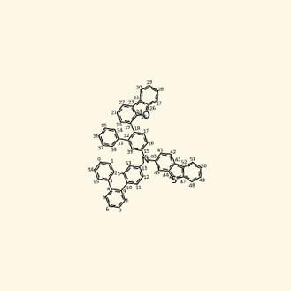 c1ccc(-c2ccccc2-c2ccc(N(c3ccc(-c4cccc5c4oc4ccccc45)c(-c4ccccc4)c3)c3ccc4c(c3)sc3ccccc34)cc2)cc1